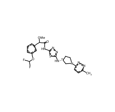 COC(C(=O)Nc1nnc(N[C@@H]2CCN(c3ccc(C)nn3)C2)s1)c1cccc(OC(F)F)c1